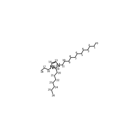 CCCCCCCCCCCCn1cc[n+](CCC)c1CCCCCCC